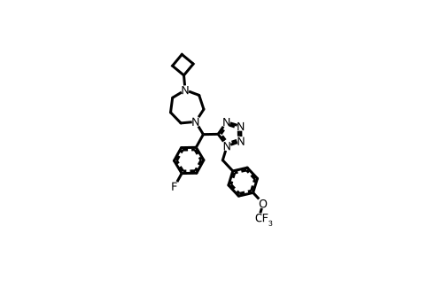 Fc1ccc(C(c2nnnn2Cc2ccc(OC(F)(F)F)cc2)N2CCCN(C3CCC3)CC2)cc1